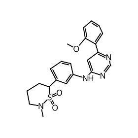 COc1ccccc1-c1cc(Nc2cccc(C3CCCN(C)S3(=O)=O)c2)ncn1